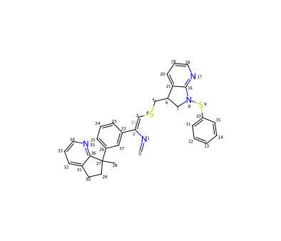 C=N/C(=C\SCC1CN(Sc2ccccc2)c2ncccc21)c1cccc(C2(C)CCc3cccnc32)c1